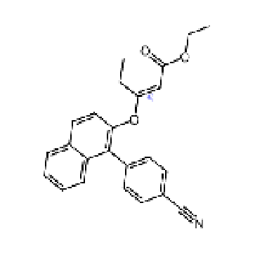 CCOC(=O)/C=C(\CC)Oc1ccc2ccccc2c1-c1ccc(C#N)cc1